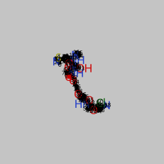 Cc1ncsc1-c1ccc([C@H](CN2CCCC2)NC(=O)[C@@H]2C[C@@H](O)CN2C(=O)C(NC(=O)COCCCCCOc2ccc(C(=O)N[C@H]3C(C)(C)[C@H](Oc4ccc(C#N)c(Cl)c4)C3(C)C)cc2)C(C)(C)C)cc1